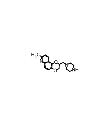 Cc1ccc2c3c(ccc2n1)OCC(CN1CCNCC1)O3